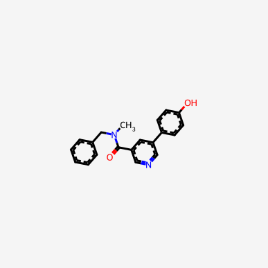 CN(Cc1ccccc1)C(=O)c1cncc(-c2ccc(O)cc2)c1